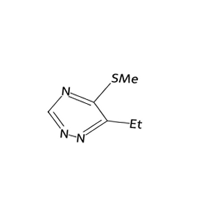 [CH2]Cc1nncnc1SC